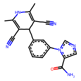 CC1=C(C#N)C(c2cccc(-n3cncc3C(N)=O)c2)C(C#N)=C(C)N1